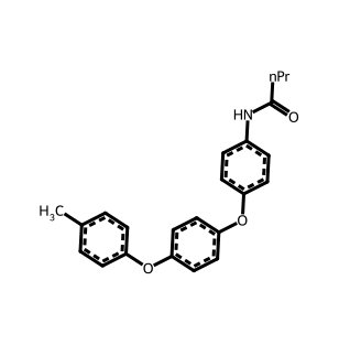 CCCC(=O)Nc1ccc(Oc2ccc(Oc3ccc(C)cc3)cc2)cc1